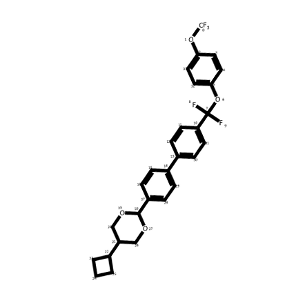 FC(F)(F)Oc1ccc(OC(F)(F)c2ccc(-c3ccc(C4OCC(C5CCC5)CO4)cc3)cc2)cc1